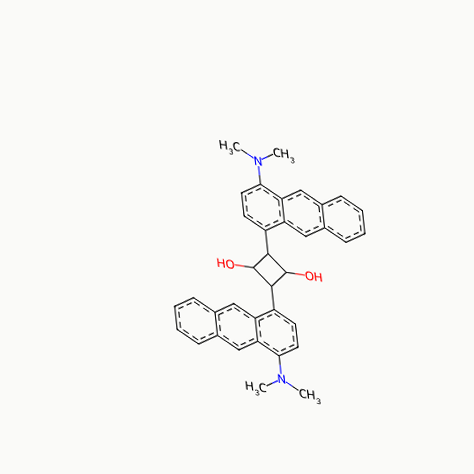 CN(C)c1ccc(C2C(O)C(c3ccc(N(C)C)c4cc5ccccc5cc34)C2O)c2cc3ccccc3cc12